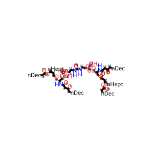 CCCCCCCCCCCC(=O)CC(=O)N[C@H](COCC[C@@H](CCCCCCC)OC(=O)CCCCCCCCCCC)COP(=O)(O)OCCNC(=O)NCCOP(=O)(O)OC[C@@H](COCC[C@H](CCCCCCC)OC(=O)CCCCCCCCCCC)NC(=O)CC(=O)CCCCCCCCCCC